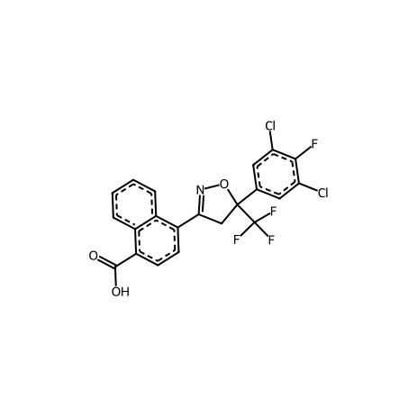 O=C(O)c1ccc(C2=NOC(c3cc(Cl)c(F)c(Cl)c3)(C(F)(F)F)C2)c2ccccc12